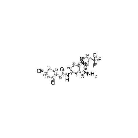 NS(=O)(=O)c1cc(NC(=O)Cc2ccc(Cl)cc2Cl)ccc1-n1ncc(C(F)(F)F)n1